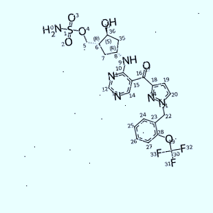 NS(=O)(=O)OC[C@H]1C[C@@H](Nc2ncncc2C(=O)c2ccn(Cc3ccccc3OC(F)(F)F)n2)C[C@@H]1O